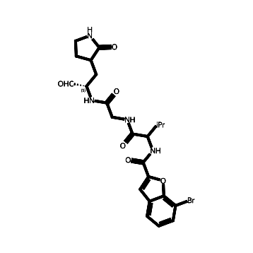 CC(C)C(NC(=O)c1cc2cccc(Br)c2o1)C(=O)NCC(=O)N[C@H](C=O)CC1CCNC1=O